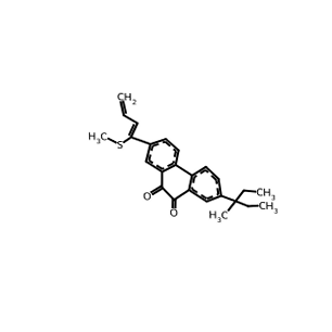 C=C/C=C(\SC)c1ccc2c(c1)C(=O)C(=O)c1cc(C(C)(CC)CC)ccc1-2